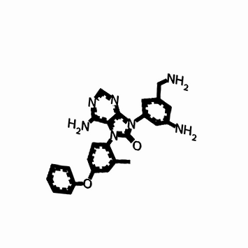 Cc1cc(Oc2ccccc2)ccc1-n1c(=O)n(-c2cc(N)cc(CN)c2)c2ncnc(N)c21